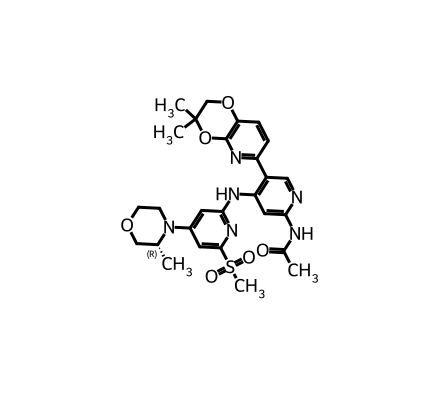 CC(=O)Nc1cc(Nc2cc(N3CCOC[C@H]3C)cc(S(C)(=O)=O)n2)c(-c2ccc3c(n2)OC(C)(C)CO3)cn1